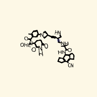 Cc1ccc(N2CC(C#C/C(C=N)=C/NC(C)(C)C(=O)Nc3c4c(c(C#N)c5c3CCC5)CCC4)C2)cc1C(=O)N(C=O)C1CCC(=O)NC1=O